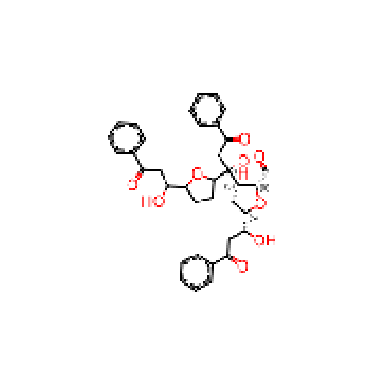 O=C[C@@H]1O[C@H](C(O)CC(=O)c2ccccc2)C[C@@H]1[C@](O)(CC(=O)c1ccccc1)C1CCC(C(O)CC(=O)c2ccccc2)O1